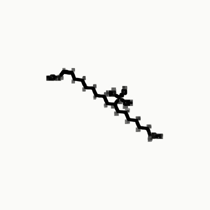 CCCCCCCC/C=C\CCCCCCCC(CCCCCCCCCCCCCCCC)P(=O)(O)O